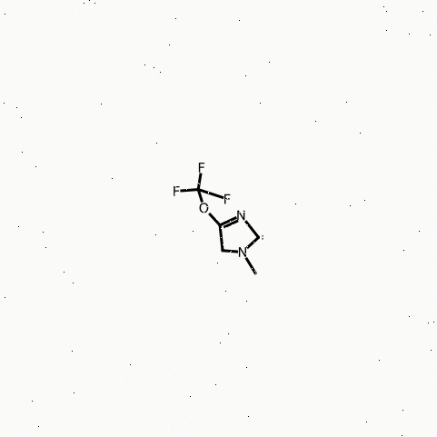 CN1[C]N=C(OC(F)(F)F)C1